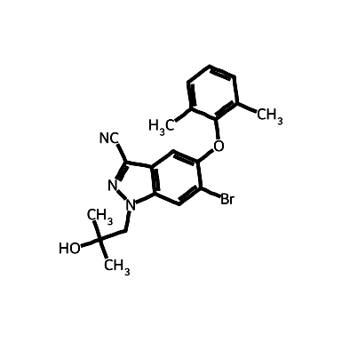 Cc1cccc(C)c1Oc1cc2c(C#N)nn(CC(C)(C)O)c2cc1Br